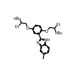 CCCCC(CC)COc1ccc(OCC(CC)CCCC)c(-c2nc3cc(C)ccc3[nH]2)c1